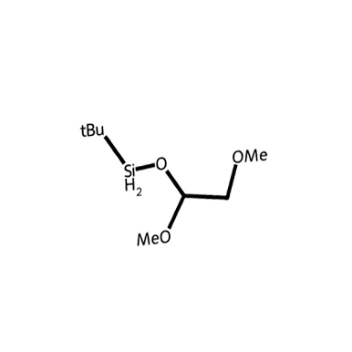 COCC(OC)O[SiH2]C(C)(C)C